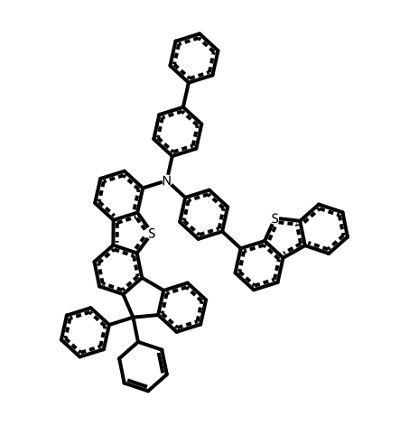 C1=CCC(C2(c3ccccc3)c3ccccc3-c3c2ccc2c3sc3c(N(c4ccc(-c5ccccc5)cc4)c4ccc(-c5cccc6c5sc5ccccc56)cc4)cccc32)C=C1